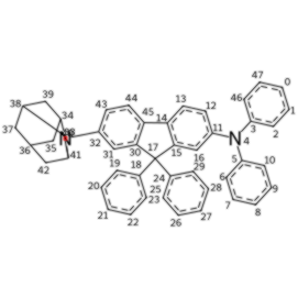 c1ccc(N(c2ccccc2)c2ccc3c(c2)C(c2ccccc2)(c2ccccc2)c2cc(N4C5CC6CC(C5)CC4C6)ccc2-3)cc1